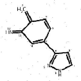 C=C1C=CC(c2cc[nH]n2)=CC1=N